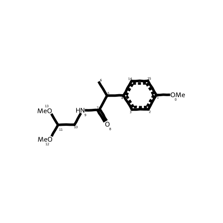 COc1ccc(C(C)C(=O)NCC(OC)OC)cc1